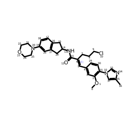 COc1cc(/C=C(\CCCCl)C(=O)NC2Cc3ccc(N4CCOCC4)cc3C2)ccc1-n1cnc(C)c1